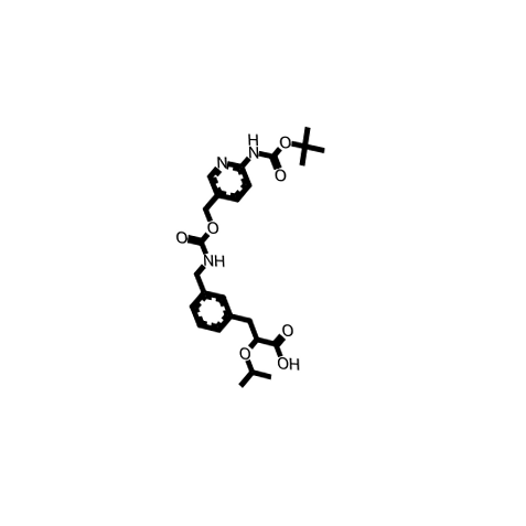 CC(C)OC(Cc1cccc(CNC(=O)OCc2ccc(NC(=O)OC(C)(C)C)nc2)c1)C(=O)O